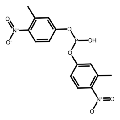 Cc1cc(OP(O)Oc2ccc([N+](=O)[O-])c(C)c2)ccc1[N+](=O)[O-]